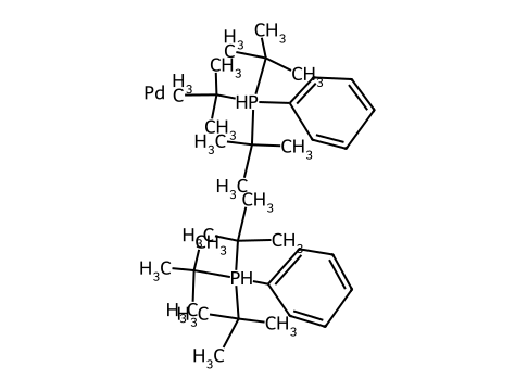 CC(C)(C)[PH](c1ccccc1)(C(C)(C)C)C(C)(C)C.CC(C)(C)[PH](c1ccccc1)(C(C)(C)C)C(C)(C)C.[Pd]